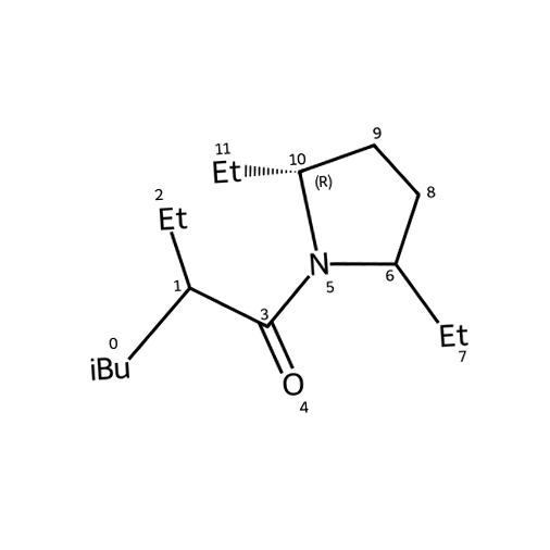 CCC(C)C(CC)C(=O)N1C(CC)CC[C@H]1CC